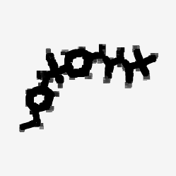 COc1ccc(NS(=O)(=O)c2ccc(NC(=S)NC(=O)C(C)(C)C)cc2)cc1